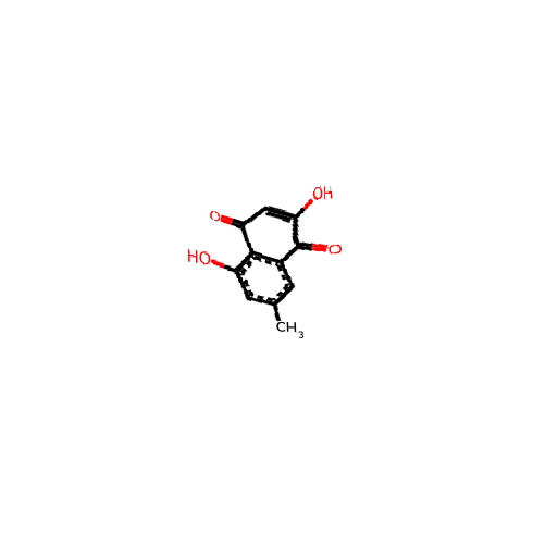 Cc1cc(O)c2c(c1)C(=O)C(O)=CC2=O